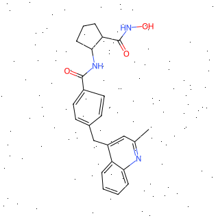 Cc1cc(Cc2ccc(C(=O)NC3CCCC3C(=O)NO)cc2)c2ccccc2n1